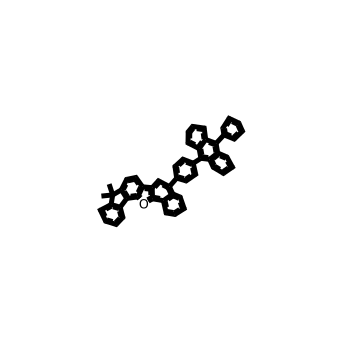 CC1(C)c2ccccc2-c2c1ccc1c2oc2c3ccccc3c(-c3ccc(-c4c5ccccc5c(-c5ccccc5)c5ccccc45)cc3)cc12